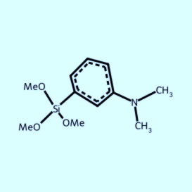 CO[Si](OC)(OC)c1cccc(N(C)C)c1